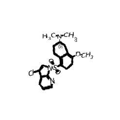 COc1ccc(S(=O)(=O)n2cc(Cl)c3cccnc32)c2c1C[C@@H](N(C)C)CC2